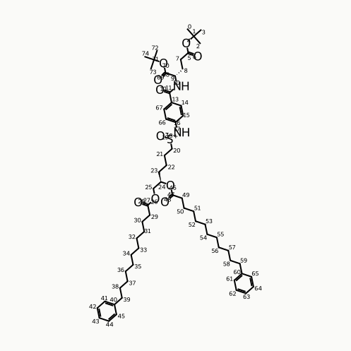 CC(C)(C)OC(=O)CC[C@H](NC(=O)c1ccc(N[S+]([O-])CCCC[C@H](COC(=O)CCCCCCCCCCCc2ccccc2)OC(=O)CCCCCCCCCCCc2ccccc2)cc1)C(=O)OC(C)(C)C